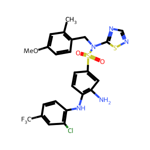 COc1ccc(CN(c2ncns2)S(=O)(=O)c2ccc(Nc3ccc(C(F)(F)F)cc3Cl)c(N)c2)c(C)c1